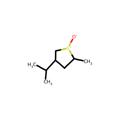 CC(C)C1CC(C)[S+]([O-])C1